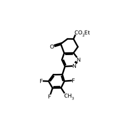 CCOC(=O)C1CC(=O)c2cc(-c3cc(F)c(F)c(C)c3F)nnc2C1